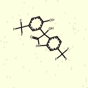 O=C1Nc2cc(C(F)(F)F)ccc2C1(O)c1cc(C(F)(F)F)ccc1O